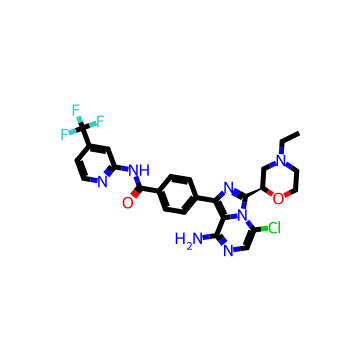 CCN1CCO[C@@H](c2nc(-c3ccc(C(=O)Nc4cc(C(F)(F)F)ccn4)cc3)c3c(N)ncc(Cl)n23)C1